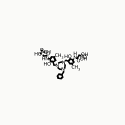 Cc1cc(CN2CCN(Cc3ccccc3)CCN(Cc3cc(C)cc(NC(=O)CP(=O)(O)O)c3O)CC2)c(O)c(NC(=O)CP(=O)(O)O)c1